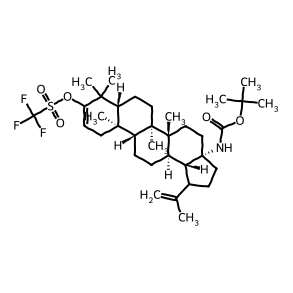 C=C(C)C1CC[C@]2(NC(=O)OC(C)(C)C)CC[C@]3(C)[C@H](CC[C@@H]4[C@@]5(C)CC=C(OS(=O)(=O)C(F)(F)F)C(C)(C)[C@@H]5CC[C@]43C)[C@@H]12